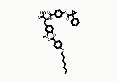 CCCCCCCOc1ccc(C(=O)Oc2ccc(CC(NC(=O)c3ccc(NC(=O)C4(c5ccccc5)CC4)cc3)C(=O)O)cc2OC)cc1